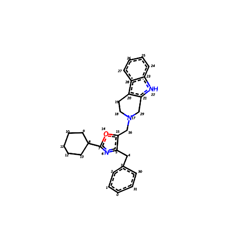 c1ccc(Cc2nc(C3CCCCC3)oc2CN2CCc3c([nH]c4ccccc34)C2)cc1